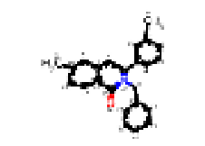 Cc1cccc(-c2cc3cc(C)ccc3c(=O)n2Cc2ccccc2)c1